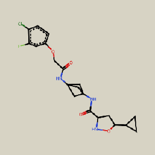 O=C(COc1ccc(Cl)c(F)c1)NC12CC(NC(=O)C3CC(C4CC4)ON3)(C1)C2